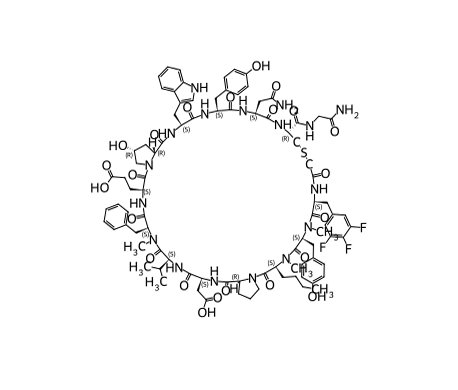 CCCC[C@H]1C(=O)N2CCC[C@@H]2C(=O)N[C@@H](CC(=O)O)C(=O)N[C@@H](C(C)C)C(=O)N(C)[C@@H](Cc2ccccc2)C(=O)N[C@@H](CCC(=O)O)C(=O)N2C[C@H](O)C[C@@H]2C(=O)N[C@@H](Cc2c[nH]c3ccccc23)C(=O)N[C@@H](Cc2ccc(O)cc2)C(=O)N[C@@H](CC(N)=O)C(=O)N[C@H](C(=O)NCC(N)=O)CSCC(=O)N[C@@H](Cc2cc(F)c(F)c(F)c2)C(=O)N(C)[C@@H](Cc2ccc(O)cc2)C(=O)N1C